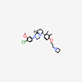 COc1cc(N2CCN3[C@@H](CCC[C@@H]3c3ccc(OCCCN4CCCC4)c(C)c3C)C2)ccc1Cl